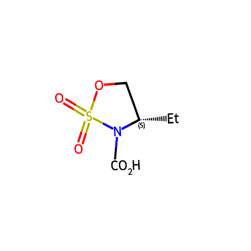 CC[C@H]1COS(=O)(=O)N1C(=O)O